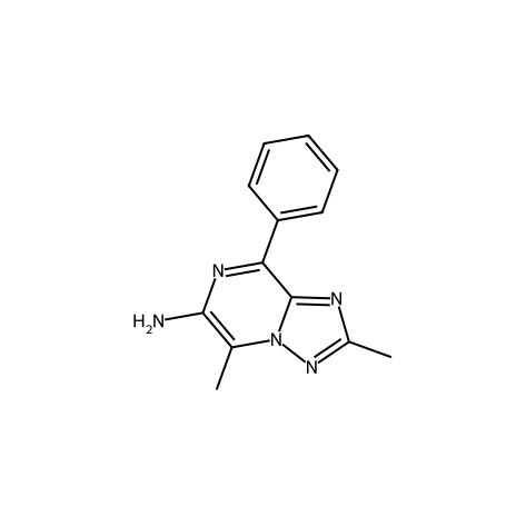 Cc1nc2c(-c3ccccc3)nc(N)c(C)n2n1